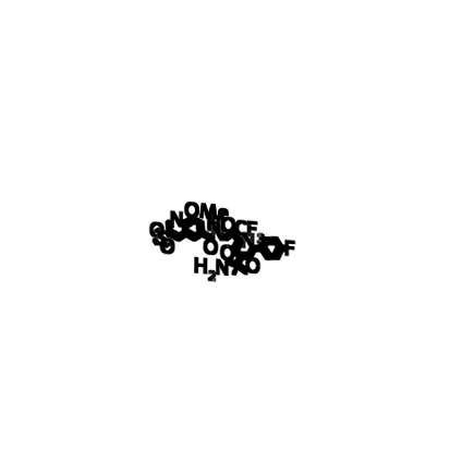 COc1cc(C(=O)NC[C@](O)(c2cc3c(c(-c4ccc(F)cc4)n2)OC[C@]3(C)C(N)=O)C(F)(F)F)cc2cc(S(C)(=O)=O)cnc12